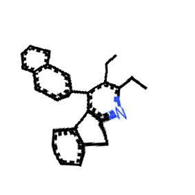 CCc1nc2c(c(-c3ccc4ccccc4c3)c1CC)-c1ccccc1C2